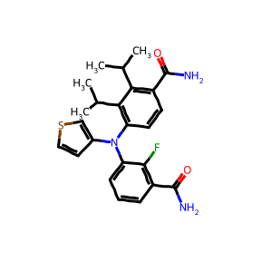 CC(C)c1c(C(N)=O)ccc(N(c2ccsc2)c2cccc(C(N)=O)c2F)c1C(C)C